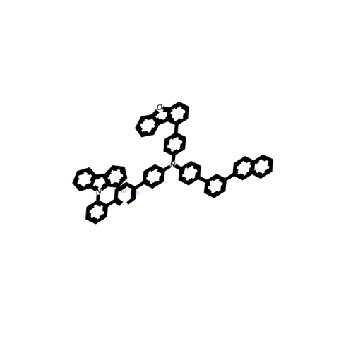 C=C(/C=C\C(=C/C)c1ccc(N(c2ccc(-c3cccc(-c4ccc5ccccc5c4)c3)cc2)c2ccc(-c3cccc4oc5ccccc5c34)cc2)cc1)c1ccccc1-n1c2ccccc2c2ccccc21